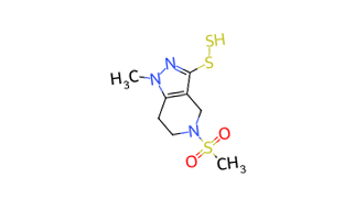 Cn1nc(SS)c2c1CCN(S(C)(=O)=O)C2